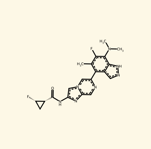 Cc1c(F)c(N(C)C)c2[nH]ncc2c1-c1cn2cc(NC(=O)[C@@H]3C[C@@H]3F)nc2cn1